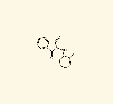 O=C1c2ccccc2C(=O)N1NC1CCCC=C1Cl